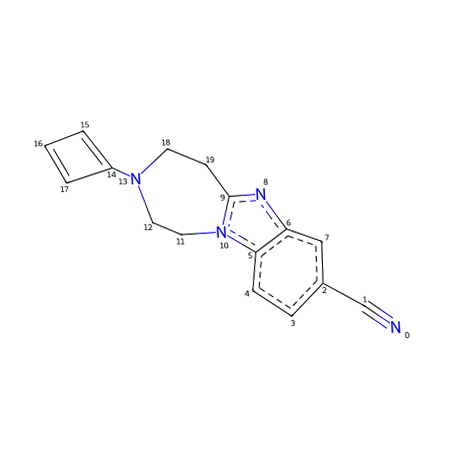 N#Cc1ccc2c(c1)nc1n2CCN(C2=CC=C2)CC1